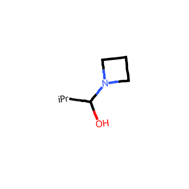 CC(C)C(O)N1CCC1